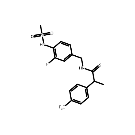 CC(C(=S)NCc1ccc(NS(C)(=O)=O)c(F)c1)c1ccc(C(F)(F)F)cc1